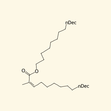 CCCCCCCCCCCCCCCCC=C(C)C(=O)OCCCCCCCCCCCCCCCCCC